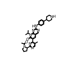 CC(=O)N1CCCC1c1ncc(C)c(-c2cc3cnc(Nc4ccc(C5CCNCC5)cc4)nc3n(C(C)C)c2=O)n1